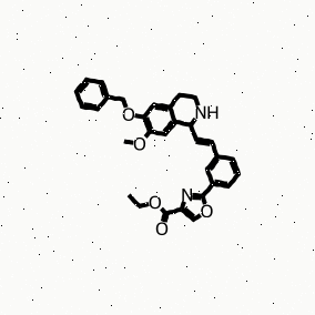 CCOC(=O)c1coc(-c2cccc(/C=C/C3NCCc4cc(OCc5ccccc5)c(OC)cc43)c2)n1